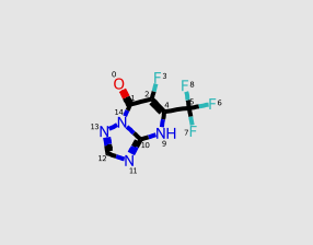 O=c1c(F)c(C(F)(F)F)[nH]c2ncnn12